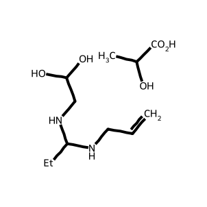 C=CCNC(CC)NCC(O)O.CC(O)C(=O)O